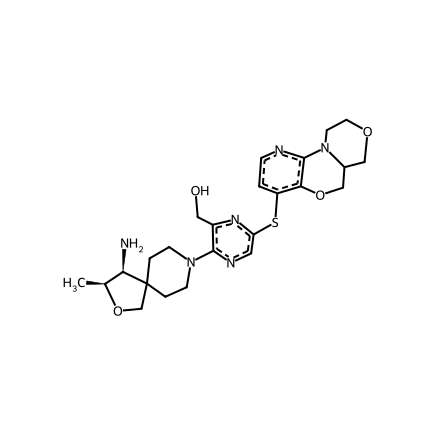 C[C@@H]1OCC2(CCN(c3ncc(Sc4ccnc5c4OCC4COCCN54)nc3CO)CC2)[C@@H]1N